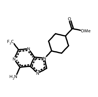 COC(=O)C1CCC(n2cnc3c(N)nc(C(F)(F)F)nc32)CC1